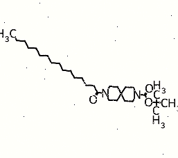 CCCCCCCCCCCCCCCC(=O)N1CCC2(CC1)CCN(C(=O)OC(C)(C)C)CC2